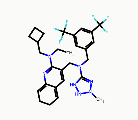 CCN(CC1CCC1)c1nc2c(cc1CN(Cc1cc(C(F)(F)F)cc(C(F)(F)F)c1)C1=NN(C)NN1)=CCCC=2